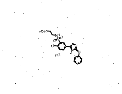 CCCCCCCCCCCCNS(=O)(=O)c1cc(-c2csc(=Nc3ccccc3)n2C)ccc1Cl.Cl